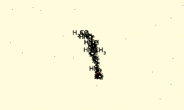 C=CC(=O)Nc1cccc(CNc2nc(Nc3ccc(N4CCN(CCCNC(=O)CC5C6CC7CC(C6)CC5C7)CC4)cc3OC)ncc2Cl)c1